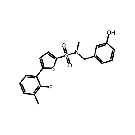 Cc1cccc(-c2ccc(S(=O)(=O)N(C)Cc3cccc(O)c3)s2)c1F